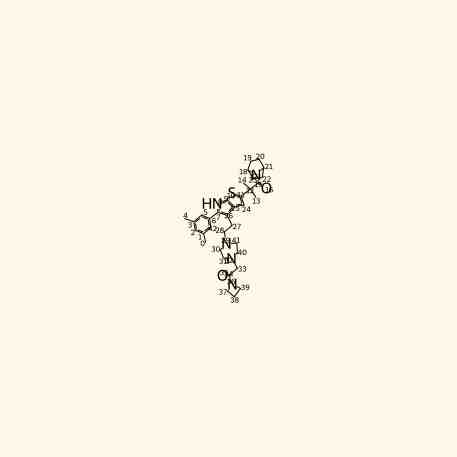 Cc1cc(C)cc(-c2[nH]c3sc(C(C)(C)C(=O)N4C5CCC4CC5)cc3c2CCN2CCN(CC(=O)N3CCC3)CC2)c1